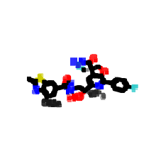 COc1cc(C(=O)NC[C@](O)(c2cc3c(c(-c4ccc(F)cc4)n2)OC[C@]3(CF)C(N)=O)C(F)(F)F)cc2sc(C)nc12